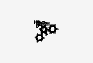 Cc1c(C2CCCCC2)cc(S(=O)(=O)O)c(P)c1C1CCCCC1